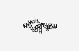 CNC(=O)COc1cc2cc(Nc3nc(N4CCC(O[C@H]5C[C@H](N6CCN(c7ccc8c(n7)CN(C7CCC(=O)NC7=O)C8=O)[C@@H](C)C6)C5)CC4)ncc3Cl)ccc2n(C(C)C)c1=O